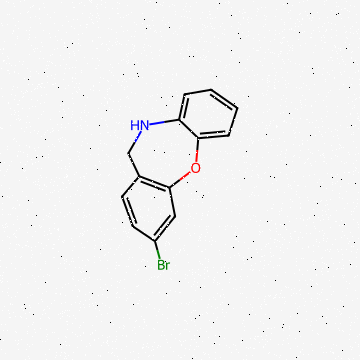 Brc1ccc2c(c1)Oc1ccccc1NC2